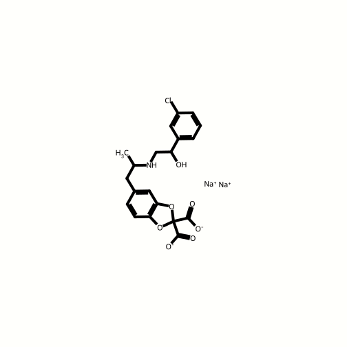 CC(Cc1ccc2c(c1)OC(C(=O)[O-])(C(=O)[O-])O2)NCC(O)c1cccc(Cl)c1.[Na+].[Na+]